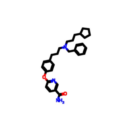 NC(=O)c1ccc(Oc2ccc(CCCN(CCCC3CCCC3)Cc3ccccc3)cc2)nc1